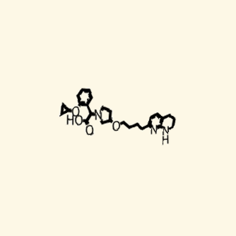 O=C(O)C(c1ccccc1OC1CC1)N1CCC(OCCCCc2ccc3c(n2)NCCC3)C1